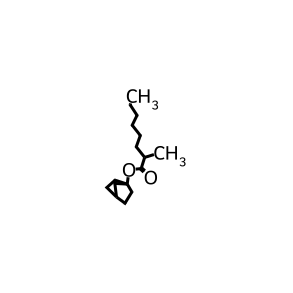 CCCCCCC(C)C(=O)OC12CCC(CC1)C2